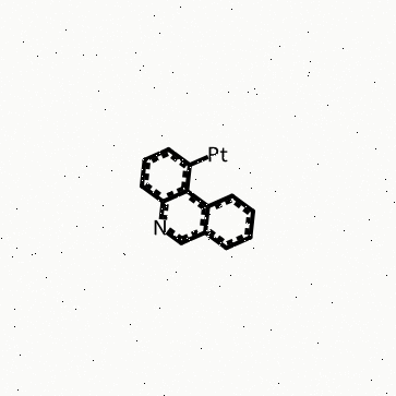 [Pt][c]1cccc2ncc3ccccc3c12